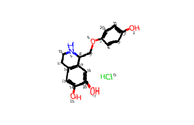 Cl.Oc1ccc(OCC2NCCc3cc(O)c(O)cc32)cc1